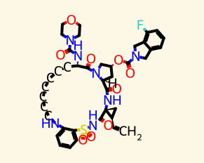 C=C[C@@H]1C[C@@]12NC(=O)[C@@H]1C[C@@H](OC(=O)N3Cc4cccc(F)c4C3)CN1C(=O)[C@@H](NC(=O)N1CCOCC1)CCCCCCCNc1ccccc1S(=O)(=O)NC2=O